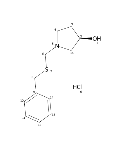 Cl.O[C@@H]1CCN(CSCc2ccccc2)C1